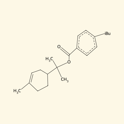 CCC(C)c1ccc(C(=O)OC(C)(C)C2CC=C(C)CC2)cc1